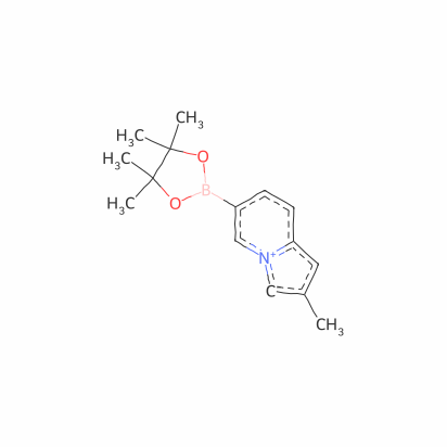 Cc1cc2ccc(B3OC(C)(C)C(C)(C)O3)c[n+]2[cH-]1